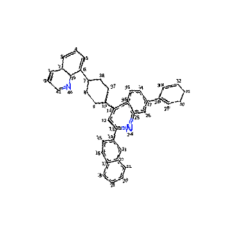 C1=CC2C=CC=C(C3CCC(c4cc(-c5ccc6ccccc6c5)nc5cc(C6=CCCC=C6)ccc45)CC3)C2N=C1